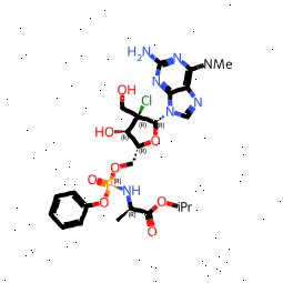 CNc1nc(N)nc2c1ncn2[C@@H]1O[C@H](CO[P@](=O)(N[C@H](C)C(=O)OC(C)C)Oc2ccccc2)[C@@H](O)[C@]1(Cl)CO